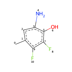 Cc1cc(N)c(O)c(F)c1F